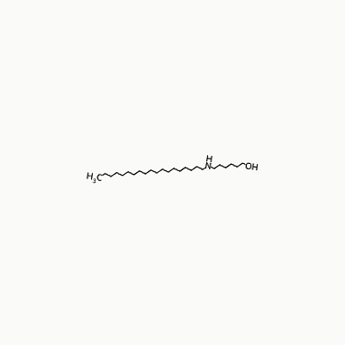 CCCCCCCCCCCCCCCCCCCNCCCCCCO